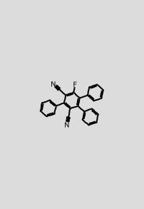 N#Cc1c(F)c(-c2ccccc2)c(-c2ccccc2)c(C#N)c1-c1ccccc1